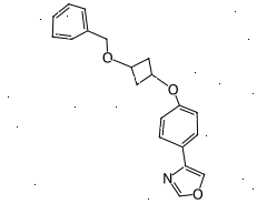 c1ccc(COC2CC(Oc3ccc(-c4cocn4)cc3)C2)cc1